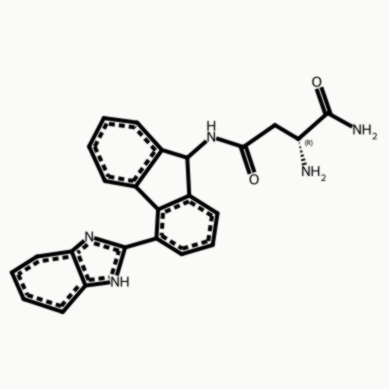 NC(=O)[C@H](N)CC(=O)NC1c2ccccc2-c2c(-c3nc4ccccc4[nH]3)cccc21